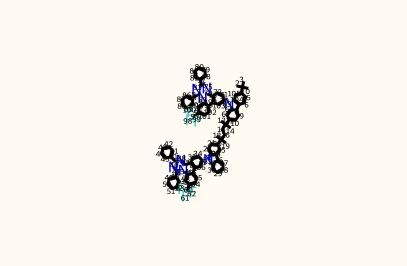 CC(C)(C)c1ccc2c3ccc(C(C)(C)CCC(C)(C)c4ccc5c(c4)c4ccccc4n5-c4ccc(-c5nc(-c6ccccc6)nc(-c6ccccc6)n5)c(-c5ccc(C(F)(F)F)cc5)c4)cc3n(-c3ccc(-c4nc(-c5ccccc5)nc(-c5ccccc5)n4)c(-c4ccc(C(F)(F)F)cc4)c3)c2c1